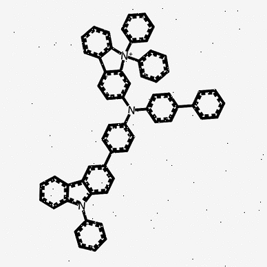 c1ccc(-c2ccc(N(c3ccc(-c4ccc5c(c4)c4ccccc4n5-c4ccccc4)cc3)c3ccc4c(c3)[N+](c3ccccc3)(c3ccccc3)c3ccccc3-4)cc2)cc1